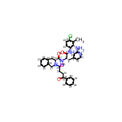 Cc1cc(NC(=O)[C@H](Cc2ccnc(N)c2)NC(=O)[C@@H]2Cc3ccccc3CN2C(=O)CCC(=O)c2ccccc2)ccc1Cl